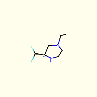 CCN1CCN[C@@H](C(F)F)C1